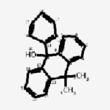 CC1(C)c2ccccc2C(O)(c2ccccc2)c2ccccc21